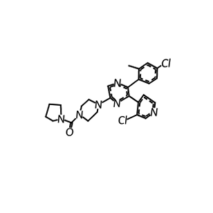 Cc1cc(Cl)ccc1-c1ncc(N2CCN(C(=O)N3CCCC3)CC2)nc1-c1ccncc1Cl